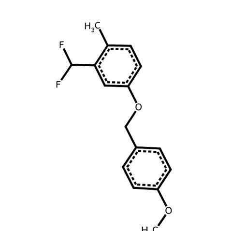 COc1ccc(COc2ccc(C)c(C(F)F)c2)cc1